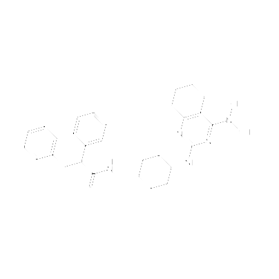 CN(C)c1nc(N[C@H]2CC[C@@H](CNC(=O)C(Cc3ccccc3)c3ccccc3)CC2)nc2c1CCCC2